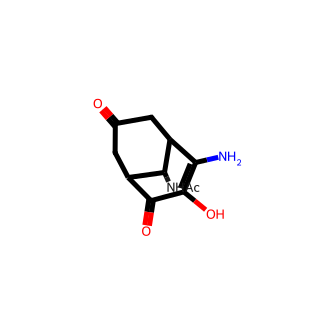 CC(=O)NC1C2CC(=O)CC1C(N)=C(O)C2=O